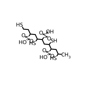 CC(S)CC(C(S)CC(C(S)CC(CCS)S(=O)(=O)O)S(=O)(=O)O)S(=O)(=O)O